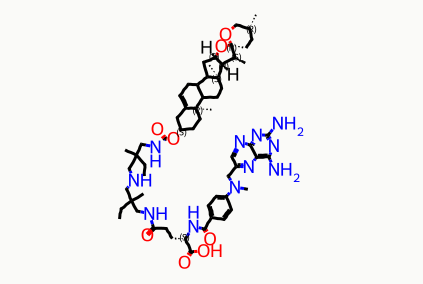 CCC(C)(CNCC(C)(CC)CNC(=O)O[C@H]1CC[C@@]2(C)C(=CCC3C2CC[C@@]2(C)C3C[C@@H]3O[C@]4(CC[C@@H](C)CO4)[C@@H](C)[C@@H]32)C1)CNC(=O)CC[C@H](NC(=O)c1ccc(N(C)Cc2cnc3nc(N)nc(N)c3n2)cc1)C(=O)O